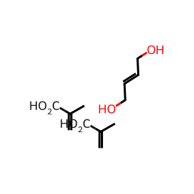 C=C(C)C(=O)O.C=C(C)C(=O)O.OCC=CCO